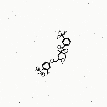 CC1(S(=O)(=O)c2cccc(C(F)(F)F)c2)CCOC(COc2ccc(S(C)(=O)=O)c(F)c2)C1